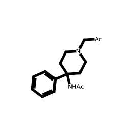 CC(=O)CN1CCC(NC(C)=O)(c2ccccc2)CC1